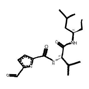 CC[C@H](CC(C)C)NC(=O)[C@@H](NC(=O)c1ccc(C=O)s1)C(C)C